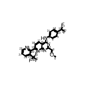 COCc1nc(Nc2ccc(C(F)F)cc2)c2ccc(-c3ncccc3C(F)(F)F)nc2n1